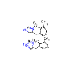 Cc1cccc(Cc2c[nH]cn2)c1C.Cc1cccc(Cc2c[nH]cn2)c1C